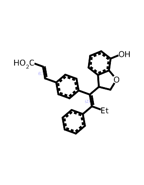 CC/C(=C(/c1ccc(/C=C/C(=O)O)cc1)C1COc2c(O)cccc21)c1ccccc1